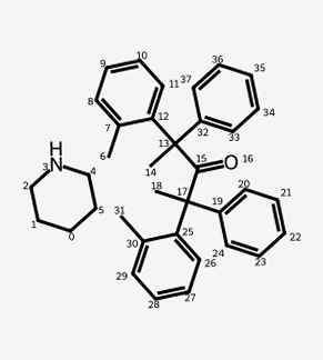 C1CCNCC1.Cc1ccccc1C(C)(C(=O)C(C)(c1ccccc1)c1ccccc1C)c1ccccc1